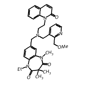 CCN1C(=O)C(C)(C)C(=O)N(C)c2cc(CN(CCn3c(=O)ccc4ccccc43)Cc3cccnc3COC)ccc21